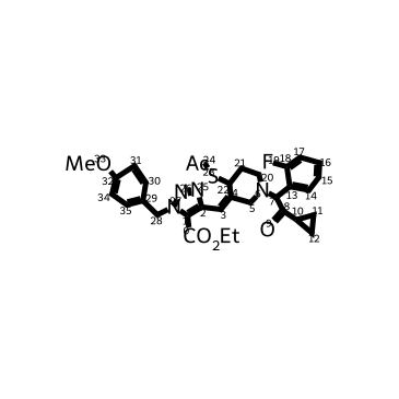 CCOC(=O)c1c(C=C2CN(C(C(=O)C3CC3)c3ccccc3F)CCC2SC(C)=O)nnn1Cc1ccc(OC)cc1